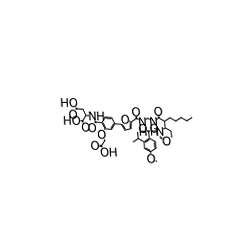 CCCCCC(C(=O)NCNC(=O)c1ccc(-c2ccc(C(=O)NC(CC(=O)O)C(=O)O)c(OCC(=O)O)c2)o1)C(CC)N(C=O)OC(=O)c1ccc(OC)cc1C(C)C